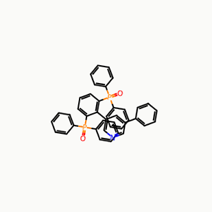 O=P(c1ccccc1)(c1ccccc1)c1cccc(P(=O)(c2ccccc2)c2ccccc2)c1-c1cncc(-c2ccccc2)c1